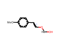 COc1ccc(/C=C/OBO)cc1